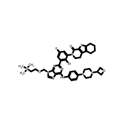 CCc1c(-c2nc(Nc3ccc(N4CCN(C5COC5)CC4)cc3)c3ncn(COCC[Si](C)(C)C)c3n2)cc(F)cc1N1CCc2c(sc3c2CCCC3)C1=O